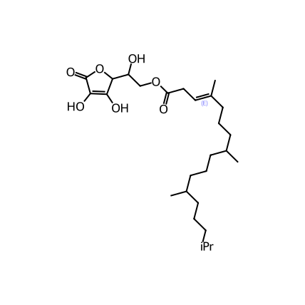 C/C(=C\CC(=O)OCC(O)C1OC(=O)C(O)=C1O)CCCC(C)CCCC(C)CCCC(C)C